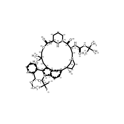 CO[C@@H](C)c1ncccc1-c1c2c3cc(ccc3n1CC(F)(F)F)[C@@H]1CCN(C1)C[C@H](NC(=O)OC(C)(C)C)C(=O)N1CCC[C@H](N1)C(=O)OCC(C)(C)C2